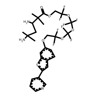 CC(C)(N)CC(N)C(C)(C)C(=O)OCC(F)(F)OC(F)(F)OC(F)(F)OC(F)(F)COc1ccc2cc(-c3cccnc3)sc2c1